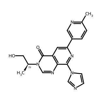 Cc1ccc(-c2cc3c(=O)n([C@@H](C)CO)cnc3c(-n3ccnc3)n2)cn1